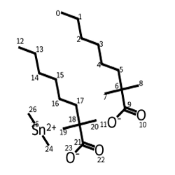 CCCCCCC(C)(C)C(=O)[O-].CCCCCCC(C)(C)C(=O)[O-].[CH3][Sn+2][CH3]